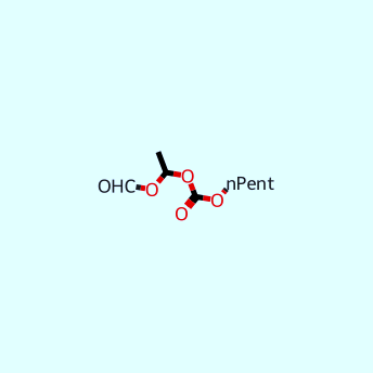 CCCCCOC(=O)OC(C)OC=O